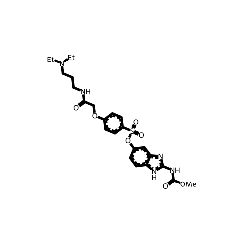 CCN(CC)CCCNC(=O)COc1ccc(S(=O)(=O)Oc2ccc3[nH]c(NC(=O)OC)nc3c2)cc1